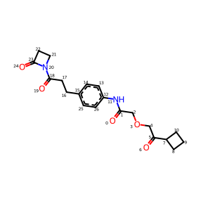 O=C(COCC(=O)C1CCC1)Nc1ccc(CCC(=O)N2CCC2=O)cc1